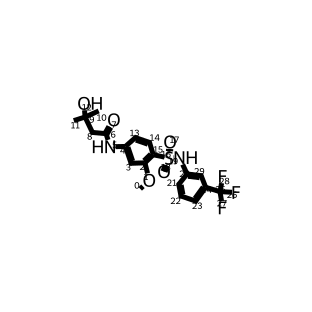 COc1cc(NC(=O)CC(C)(C)O)ccc1S(=O)(=O)Nc1cccc(C(F)(F)F)c1